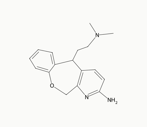 CN(C)CCC1c2ccccc2OCc2nc(N)ccc21